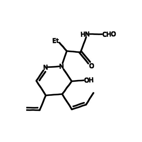 C=CC1C=NN(C(CC)C(=O)NC=O)C(O)C1/C=C\C